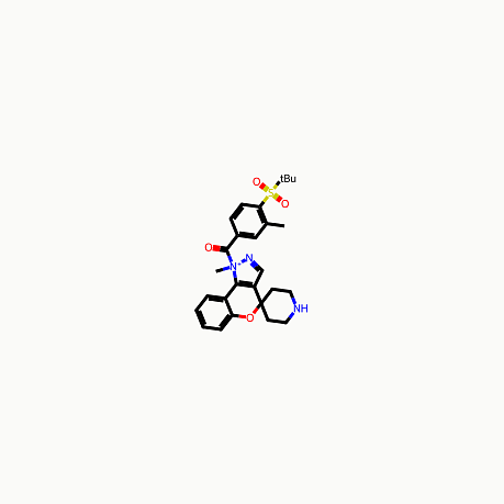 Cc1cc(C(=O)[N+]2(C)N=CC3=C2c2ccccc2OC32CCNCC2)ccc1S(=O)(=O)C(C)(C)C